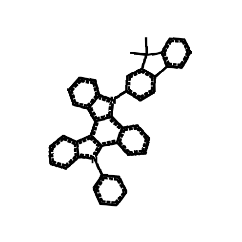 CC1(C)c2ccccc2-c2ccc(-n3c4ccccc4c4c5c6ccccc6n(-c6ccccc6)c5c5ccccc5c43)cc21